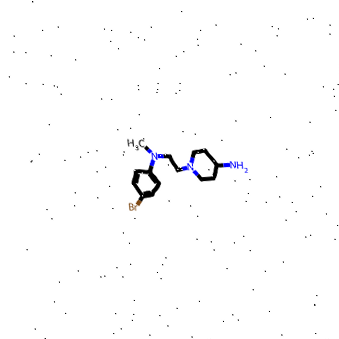 CN(CCN1CCC(N)CC1)c1ccc(Br)cc1